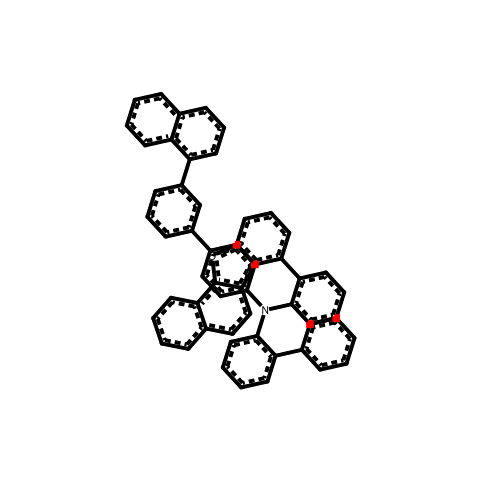 c1ccc(-c2ccccc2N(c2ccc(-c3cccc(-c4cccc5ccccc45)c3)cc2)c2ccccc2-c2cccc3oc4c5ccccc5ccc4c23)cc1